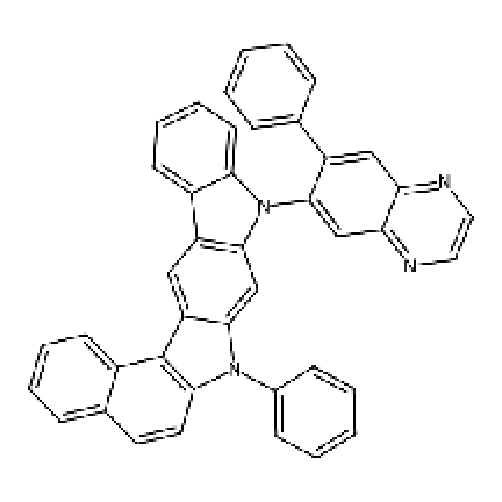 c1ccc(-c2cc3nccnc3cc2-n2c3ccccc3c3cc4c5c6ccccc6ccc5n(-c5ccccc5)c4cc32)cc1